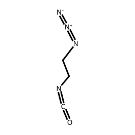 [N-]=[N+]=NCCN=C=O